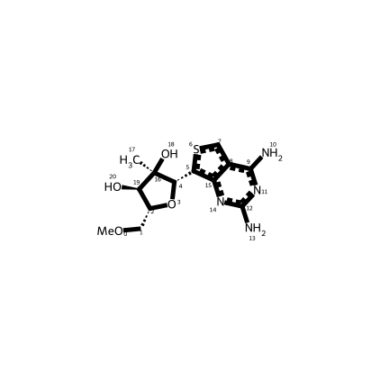 COC[C@H]1O[C@@H](c2scc3c(N)nc(N)nc23)[C@](C)(O)[C@@H]1O